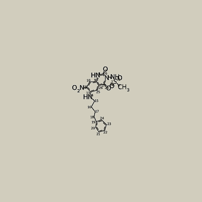 CS(=O)(=O)Nn1c(=O)[nH]c2cc([N+](=O)[O-])c(NCCCCc3ccccc3)cc2c1=O